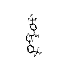 FC(F)(F)c1ccc(Nc2nccc(-c3cccc(C(F)(F)F)c3)n2)cc1